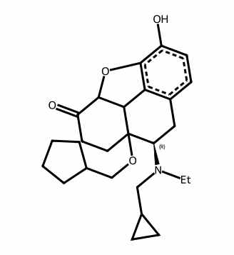 CCN(CC1CC1)[C@@H]1Cc2ccc(O)c3c2C2C(O3)C(=O)CCC21OCC1CCCC1